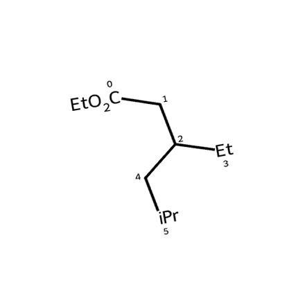 CCOC(=O)CC(CC)CC(C)C